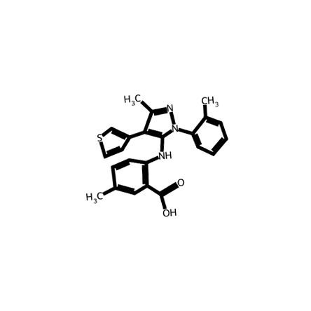 Cc1ccc(Nc2c(-c3ccsc3)c(C)nn2-c2ccccc2C)c(C(=O)O)c1